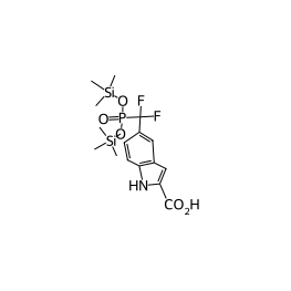 C[Si](C)(C)OP(=O)(O[Si](C)(C)C)C(F)(F)c1ccc2[nH]c(C(=O)O)cc2c1